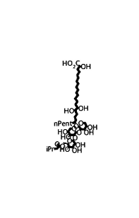 CCCCCC(CCCC(O)C(O)CCCCCCCCCCCCCC(O)C(=O)O)O[C@@H]1OC[C@@H](O)[C@H](O)[C@H]1O[C@@H]1OC[C@@H](O)[C@H](O)[C@H]1O[C@@H]1O[C@H](COC(=O)CC(C)C)[C@@H](O)[C@H](O)[C@H]1O